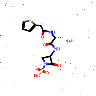 C[C@@H](NC(=O)Cc1cccs1)C(=O)NC1CN(S(=O)(=O)O)C1=O.[NaH]